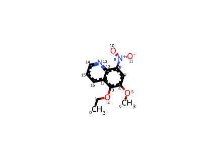 CCOc1c(OC)cc([N+](=O)[O-])c2ncccc12